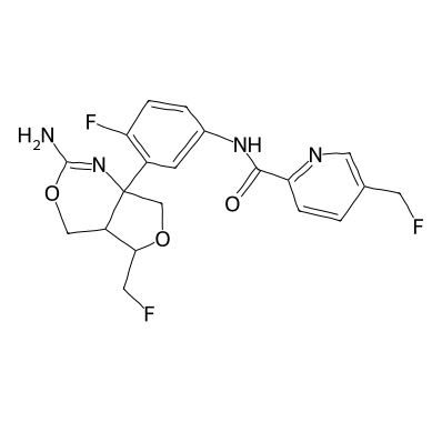 NC1=NC2(c3cc(NC(=O)c4ccc(CF)cn4)ccc3F)COC(CF)C2CO1